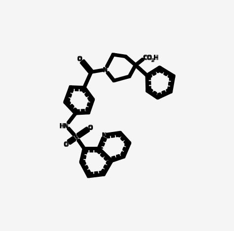 O=C(c1ccc(NS(=O)(=O)c2cccc3cccnc23)cc1)N1CCC(C(=O)O)(c2ccccc2)CC1